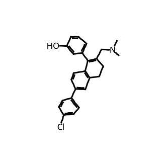 CN(C)CC1=C(c2cccc(O)c2)c2ccc(-c3ccc(Cl)cc3)cc2CC1